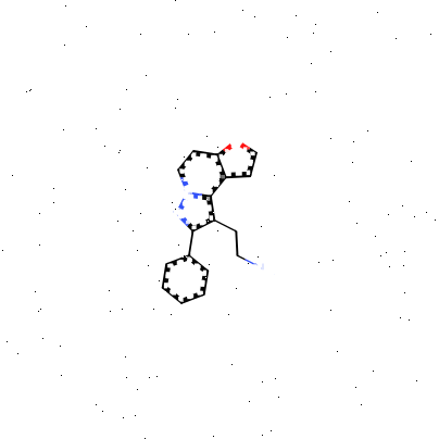 NCCc1c(-c2ccccc2)nn2ccc3occc3c12